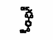 CC1(C=O)COC(c2ccc(OC(C)(C)C)cc2)OC1